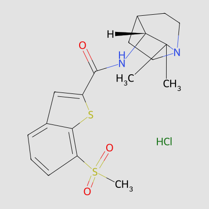 CC1(C)[C@H](NC(=O)c2cc3cccc(S(C)(=O)=O)c3s2)C2CCN1CC2.Cl